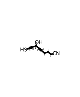 N#CCCCC#CC(O)C#CS